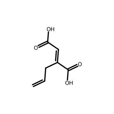 C=CC/C(=C\C(=O)O)C(=O)O